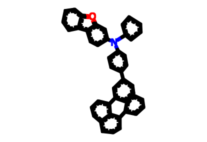 c1ccc(-c2cccc3cccc(-c4cccc(-c5ccc(N(c6ccccc6)c6ccc7c(c6)oc6ccccc67)cc5)c4)c23)cc1